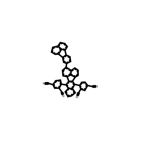 N#Cc1ccc(-c2c3c(c(-c4ccc(C#N)cc4C#N)c4ccccc24)-c2ccc(-c4ccc5c(c4)-c4cccc6cccc-5c46)c4cccc-3c24)c(C#N)c1